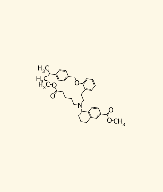 COC(=O)CCCCN(CCc1ccccc1OCc1ccc(C(C)C)cc1)C1CCCc2cc(C(=O)OC)ccc21